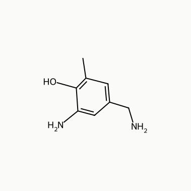 Cc1cc(CN)cc(N)c1O